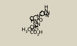 CC(C)(Sc1cnc(NC(=O)N(CC2CCCC2)c2ccc3[nH]nnc3c2)s1)C(=O)O